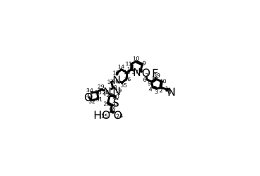 N#Cc1ccc(COc2cccc(C3CCN(Cc4nc5sc(C(=O)O)cc5n4CC4CCOC4)CC3)n2)c(F)c1